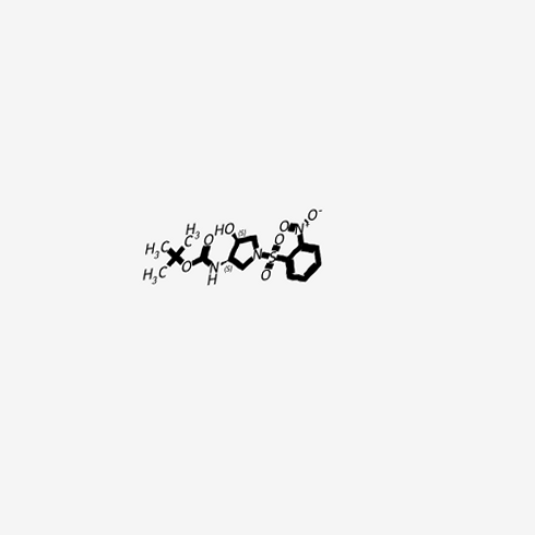 CC(C)(C)OC(=O)N[C@H]1CN(S(=O)(=O)c2ccccc2[N+](=O)[O-])C[C@@H]1O